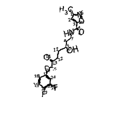 Cc1cc(C(=O)NCCC(O)CCC(=O)COc2ccc(F)c(F)c2)on1